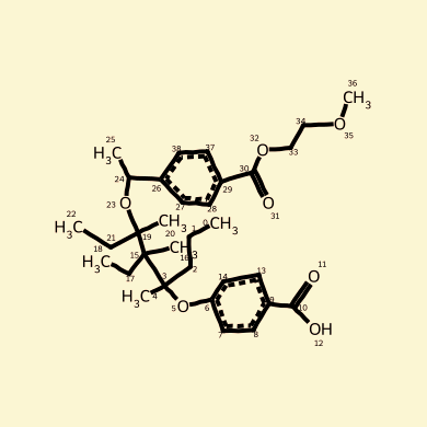 CCCC(C)(Oc1ccc(C(=O)O)cc1)C(C)(CC)C(C)(CC)OC(C)c1ccc(C(=O)OCCOC)cc1